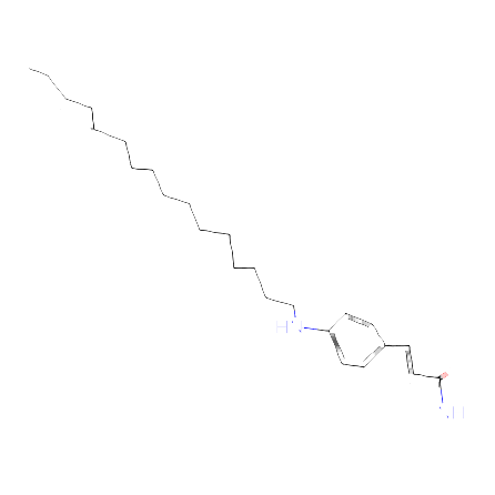 CCCCCCCCCCCCCCCCNc1ccc(C=CC(N)=O)cc1